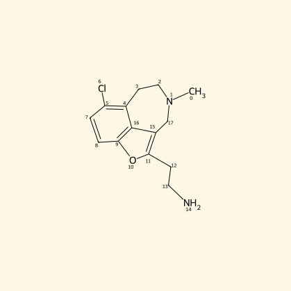 CN1CCc2c(Cl)ccc3oc(CCN)c(c23)C1